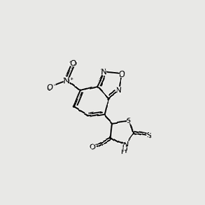 O=C1NC(=S)SC1c1ccc([N+](=O)[O-])c2nonc12